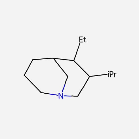 CCC1C2CCCN(C2)CC1C(C)C